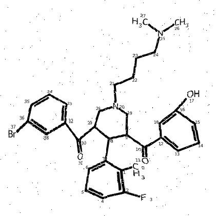 Cc1c(F)cccc1C1C(C(=O)c2cccc(O)c2)CN(CCCCN(C)C)CC1C(=O)c1cccc(Br)c1